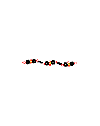 O=S(=O)(c1ccc(O)cc1)c1ccc(OC/C=C/COc2ccc(S(=O)(=O)c3ccc(OC/C=C/COc4ccc(S(=O)(=O)c5ccc(O)cc5)cc4)cc3)cc2)cc1